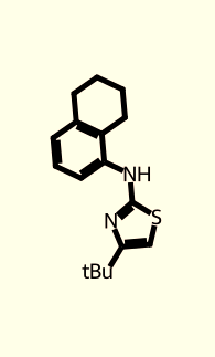 CC(C)(C)c1csc(Nc2cccc3c2CCCC3)n1